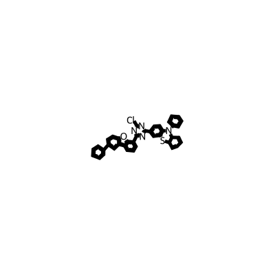 Clc1nc(-c2ccc3c(c2)SC2C=CC=CC2N3c2ccccc2)nc(-c2cccc3c2oc2ccc(-c4ccccc4)cc23)n1